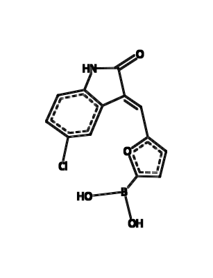 O=C1Nc2ccc(Cl)cc2/C1=C\c1ccc(B(O)O)o1